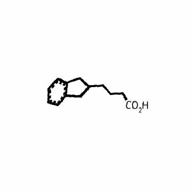 O=C(O)CCCC1Cc2ccccc2C1